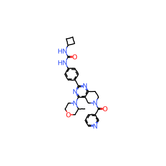 CC1COCCN1c1nc(-c2ccc(NC(=O)NC3CCC3)cc2)nc2c1CN(C(=O)c1cccnc1)CC2